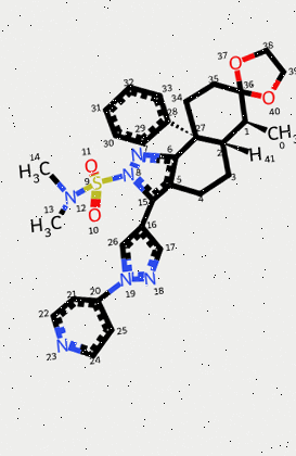 C[C@H]1[C@@H]2CCc3c(nn(S(=O)(=O)N(C)C)c3-c3cnn(-c4ccncc4)c3)[C@@]2(c2ccccc2)CCC12OCCO2